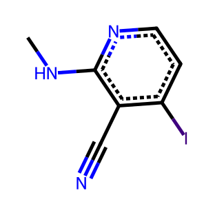 CNc1nccc(I)c1C#N